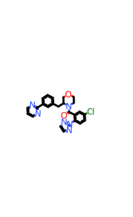 O=C(c1cc(Cl)ccc1-n1nccn1)N1CCOCC1Cc1cccc(-c2ncccn2)c1